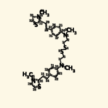 CN(CCSSCCN(C)c1ccc(/C=C/c2scc[n+]2C)cc1)c1ccc(/C=C/c2scc[n+]2C)cc1